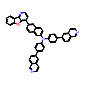 c1ccc2c(c1)oc1c(-c3ccc4cc(N(c5ccc(-c6ccc7cnccc7c6)cc5)c5ccc(-c6ccc7cnccc7c6)cc5)ccc4c3)ccnc12